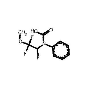 COC(F)(F)C(F)N(C(=O)O)c1ccccc1